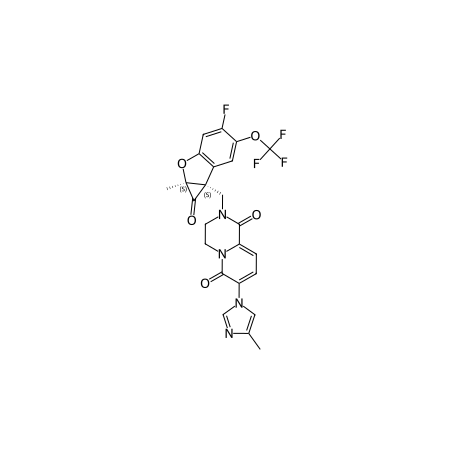 Cc1cn(-c2ccc3n(c2=O)CCN(C[C@]24C(=O)[C@@]2(C)Oc2cc(F)c(OC(F)(F)F)cc24)C3=O)cn1